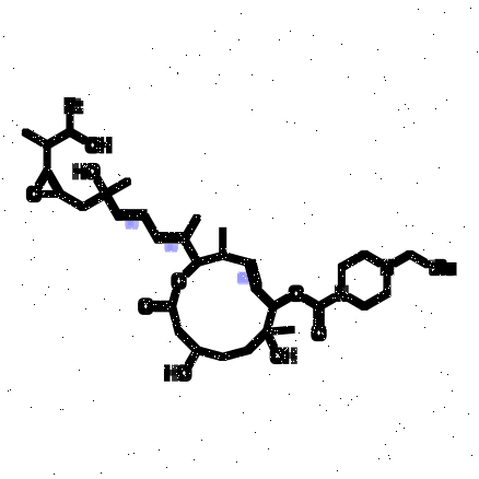 CCC(O)C(C)C1OC1CC(C)(O)/C=C/C=C(\C)C1OC(=O)CC(O)CCC(C)(O)C(OC(=O)N2CCN(CC(C)(C)C)CC2)/C=C/C1C